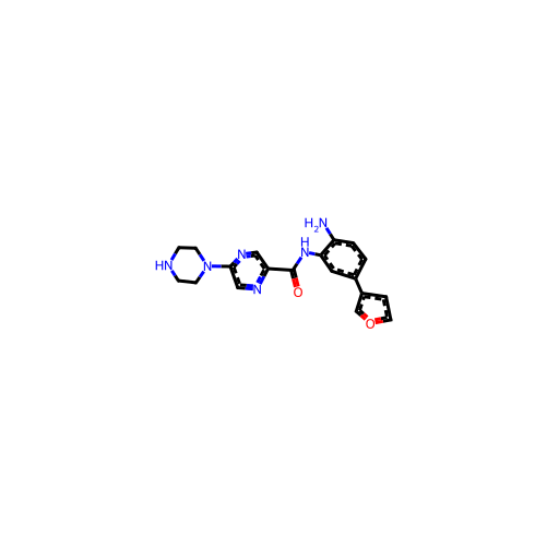 Nc1ccc(-c2ccoc2)cc1NC(=O)c1cnc(N2CCNCC2)cn1